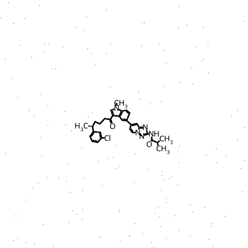 CC(C)C(=O)Nc1nc2cc(-c3ccc4c(c3)c(C(=O)CCC[C@H](C)c3cccc(Cl)c3)cn4C)ccn2n1